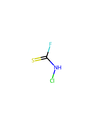 FC(=S)NCl